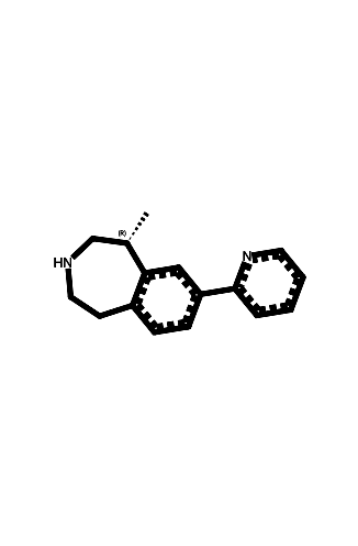 C[C@H]1CNCCc2ccc(-c3ccccn3)cc21